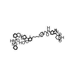 Cc1c(CCCCN2CCN(CC(=O)Nc3ccc4c(C5CCC(=O)NC5=O)nn(C)c4c3)CC2)cccc1-c1ccc(N2CCc3cccc(C(=O)Nc4nc5ccccc5s4)c3C2)nc1C(=O)O